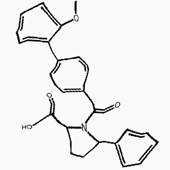 COc1ccccc1-c1ccc(C(=O)N2C(C(=O)O)CCC2c2ccccc2)cc1